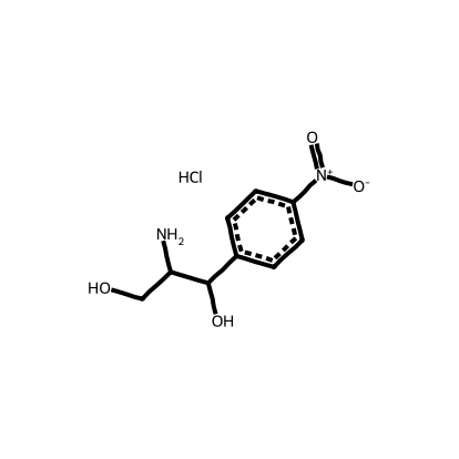 Cl.NC(CO)C(O)c1ccc([N+](=O)[O-])cc1